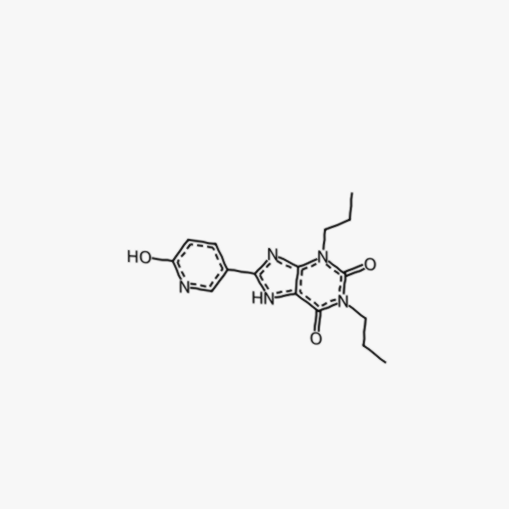 CCCn1c(=O)c2[nH]c(-c3ccc(O)nc3)nc2n(CCC)c1=O